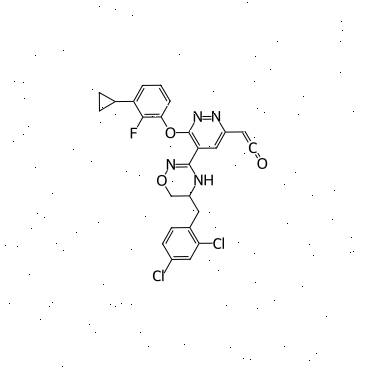 O=C=Cc1cc(C2=NOCC(Cc3ccc(Cl)cc3Cl)N2)c(Oc2cccc(C3CC3)c2F)nn1